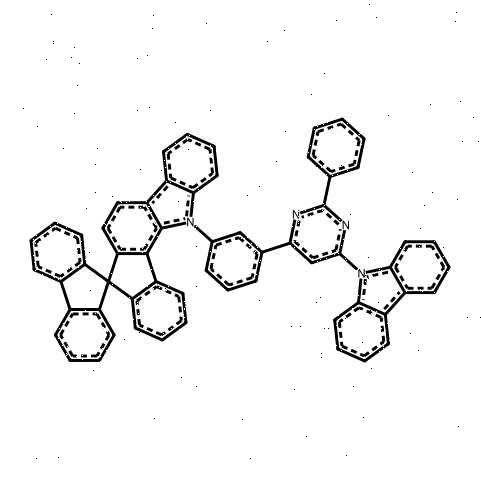 c1ccc(-c2nc(-c3cccc(-n4c5ccccc5c5ccc6c(c54)-c4ccccc4C64c5ccccc5-c5ccccc54)c3)cc(-n3c4ccccc4c4ccccc43)n2)cc1